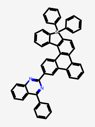 c1ccc(-c2nc(-c3ccc4c(c3)c3ccccc3c3ccc5c(c34)-c3ccccc3[Si]5(c3ccccc3)c3ccccc3)nc3ccccc23)cc1